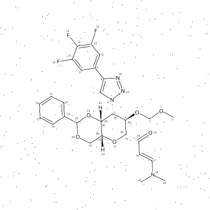 COCO[C@@H]1[C@@H](n2cc(-c3cc(F)c(F)c(F)c3)nn2)[C@H]2OC(c3ccccc3)OC[C@H]2O[C@H]1C(=O)/C=C/N(C)C